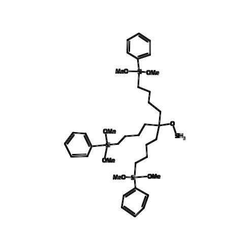 CO[Si](CCCCC(CCCC[Si](OC)(OC)c1ccccc1)(CCCC[Si](OC)(OC)c1ccccc1)O[SiH3])(OC)c1ccccc1